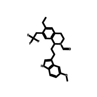 CCc1cc2c(cc1CC(F)(F)F)C(CCc1c[nH]c3ccc(OC)cc13)N(C=O)CC2